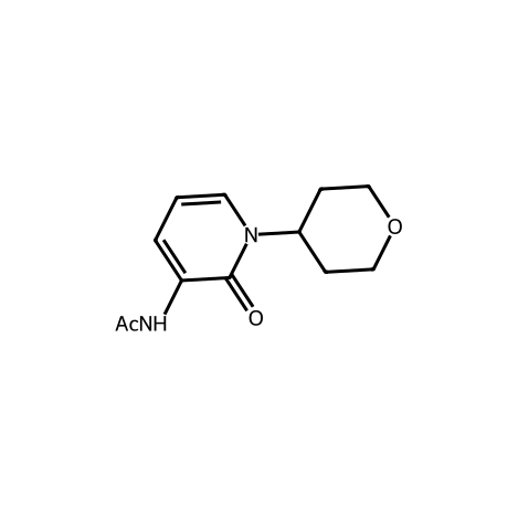 CC(=O)Nc1cccn(C2CCOCC2)c1=O